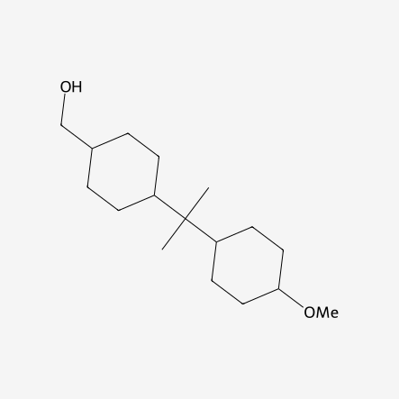 COC1CCC(C(C)(C)C2CCC(CO)CC2)CC1